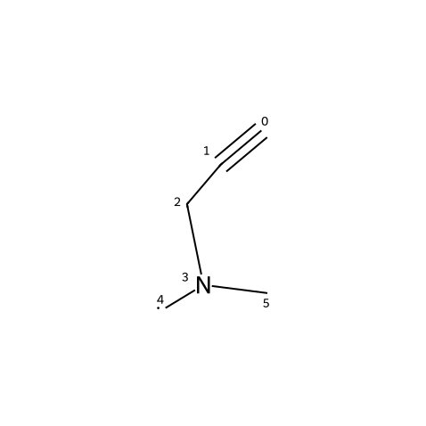 C#CCN([CH2])C